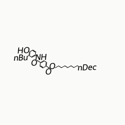 CCCCCCCCCCCCCCCCCCOC(=O)c1ccc(C(=O)Nc2ccc(O)c(CCCC)c2)cc1